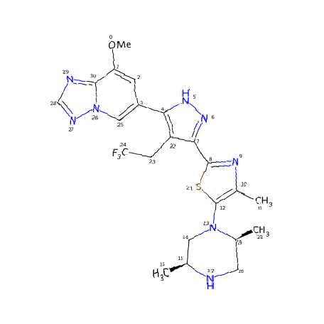 COc1cc(-c2[nH]nc(-c3nc(C)c(N4C[C@H](C)NC[C@@H]4C)s3)c2CC(F)(F)F)cn2ncnc12